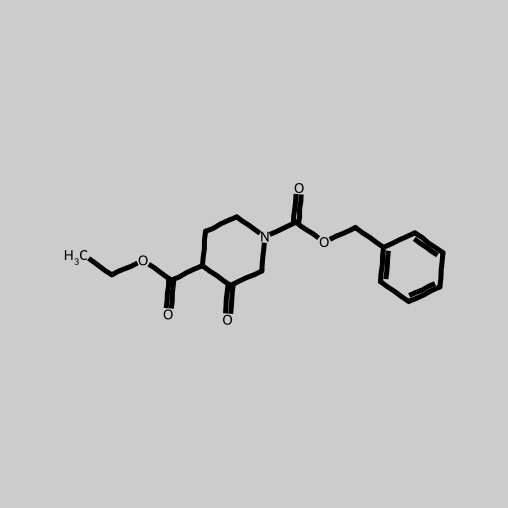 CCOC(=O)C1CCN(C(=O)OCc2ccccc2)CC1=O